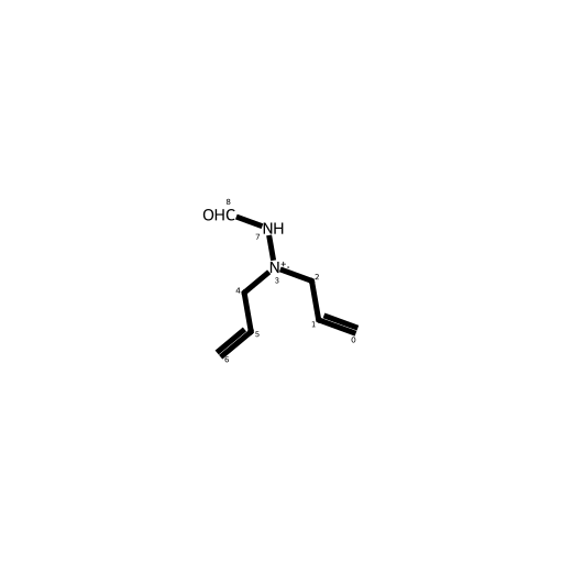 C=CC[N+](CC=C)NC=O